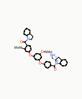 CNOc1cc(Oc2ccc(C(=O)N3c4ccccc4C[C@H]3CN)cc2)cc(Oc2ccc(C(=O)N3CCc4ccccc43)c(NC)c2)c1